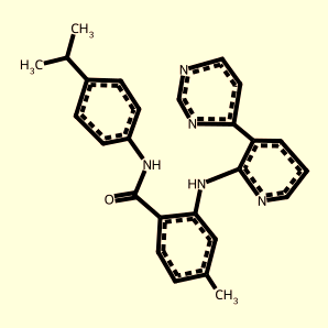 Cc1ccc(C(=O)Nc2ccc(C(C)C)cc2)c(Nc2ncccc2-c2ccncn2)c1